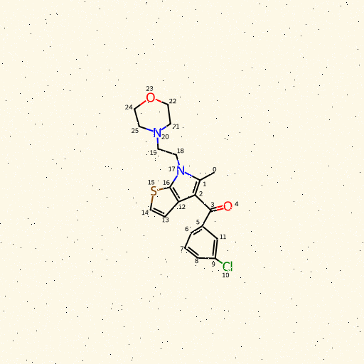 Cc1c(C(=O)c2cccc(Cl)c2)c2ccsc2n1CCN1CCOCC1